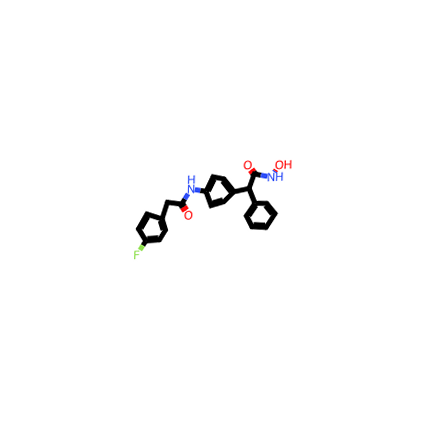 O=C(Cc1ccc(F)cc1)Nc1ccc(C(C(=O)NO)c2ccccc2)cc1